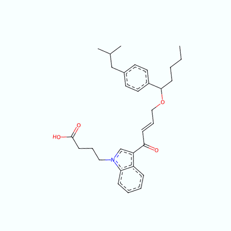 CCCCC(OCC=CC(=O)c1cn(CCCC(=O)O)c2ccccc12)c1ccc(CC(C)C)cc1